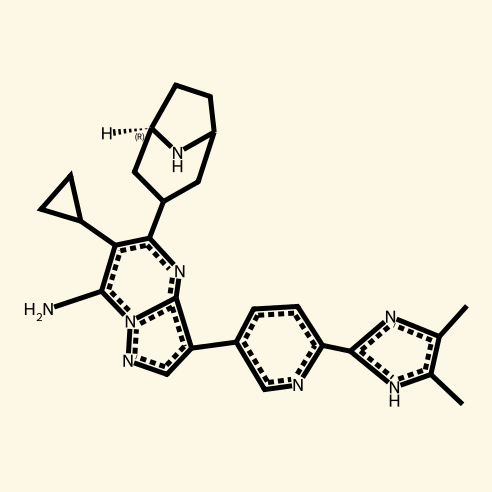 Cc1nc(-c2ccc(-c3cnn4c(N)c(C5CC5)c(C5CC6CC[C@H](C5)N6)nc34)cn2)[nH]c1C